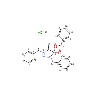 CC(NCc1ccccc1)C1(OCc2ccccc2)CCc2ccccc2O1.Cl